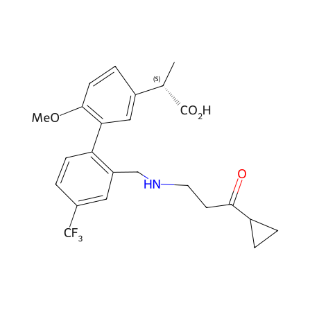 COc1ccc([C@H](C)C(=O)O)cc1-c1ccc(C(F)(F)F)cc1CNCCC(=O)C1CC1